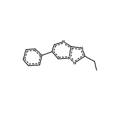 CCc1nc2ncc(-c3ccccc3)cn2n1